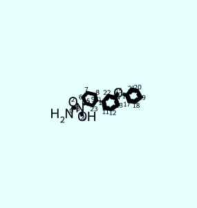 NC(=O)N(O)[C@H]1CCC[C@H](c2cccc(Oc3ccccc3)c2)C1